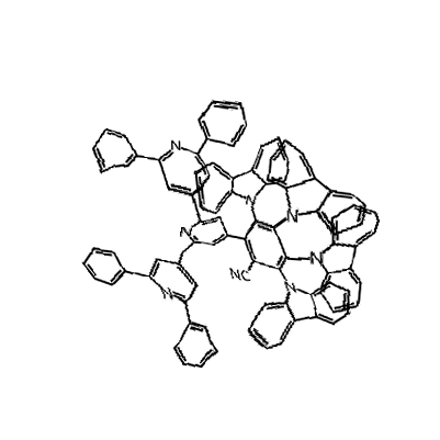 N#Cc1c(-c2cc(-c3cc(-c4ccccc4)nc(-c4ccccc4)c3)nc(-c3cc(-c4ccccc4)nc(-c4ccccc4)c3)c2)c(-n2c3ccccc3c3ccccc32)c(-n2c3ccccc3c3ccccc32)c(-n2c3ccccc3c3ccccc32)c1-n1c2ccccc2c2ccccc21